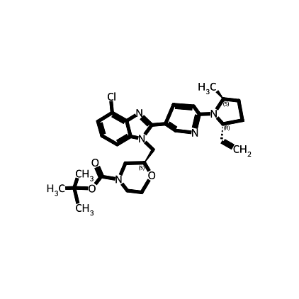 C=C[C@H]1CC[C@H](C)N1c1ccc(-c2nc3c(Cl)cccc3n2C[C@@H]2CN(C(=O)OC(C)(C)C)CCO2)cn1